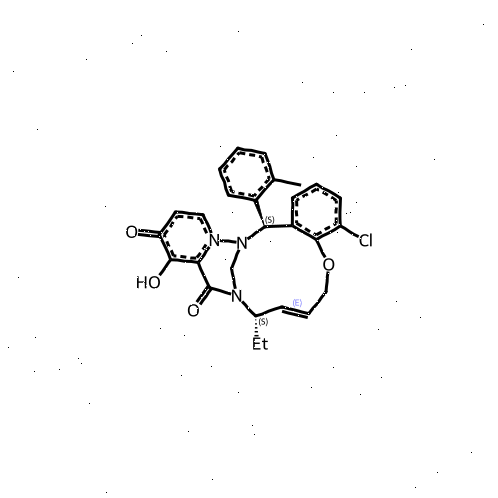 CC[C@H]1/C=C/COc2c(Cl)cccc2[C@H](c2ccccc2C)N2CN1C(=O)c1c(O)c(=O)ccn12